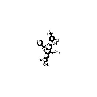 CCc1c(C=C2CC(C)N(C=O)C2)c(=O)n2nc(C3=CCOCC3)nc2n1CC(=O)Nc1ccc(C(F)(F)F)cc1Cl